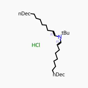 CCCCCCCCCCCCCCCC/C=C/N(/C=C/CCCCCCCCCCCCCCCC)C(C)(C)C.Cl